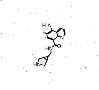 Cc1cc(C(=O)NCC2C3CNCC32)c2ncccc2c1N